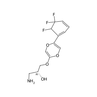 NC[C@@H](O)COC1=COC(C2=CC=CC(F)(F)C2F)=CO1